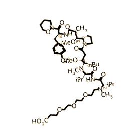 CC[C@H](C)[C@@H]([C@@H](CC(=O)N1CCC[C@H]1[C@H](OC)[C@@H](C)C(=O)N[C@@H](Cc1ccc(O)cc1)C(=O)N1CCCCO1)OC)N(C)[C@H](C(=O)NC(=O)[C@H](C(C)C)N(C)CCOCCOCCOCCC(=O)O)C(C)C